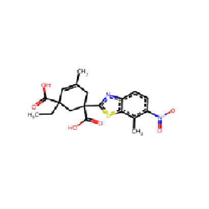 CCC1(C(=O)O)C=C(C)CC(C(=O)O)(c2nc3ccc([N+](=O)[O-])c(C)c3s2)C1